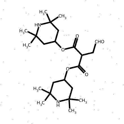 CC1(C)CC(OC(=O)C(CC=O)C(=O)OC2CC(C)(C)NC(C)(C)C2)CC(C)(C)N1